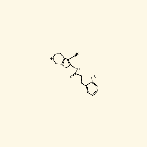 Cc1ccccc1CCC(=O)Nc1sc2c(c1C#N)CCNC2